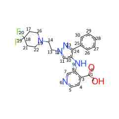 O=C(O)c1ccncc1Nc1cn(CCN2CCC(F)(F)CC2)nc1-c1ccccc1